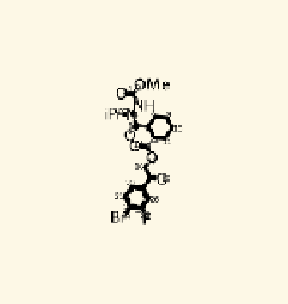 COC(=O)NN(C(=O)[C@H]1CCCC[C@@H]1C(=O)OCC(=O)c1ccc(Br)c(F)c1)C(C)C